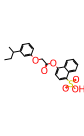 CCC(C)c1cccc(OCC(=O)Oc2ccc(S(=O)(=O)O)c3ccccc23)c1